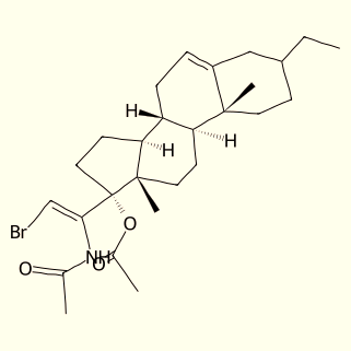 CCC1CC[C@@]2(C)C(=CC[C@@H]3[C@@H]2CC[C@@]2(C)[C@H]3CC[C@]2(OC(C)=O)C(=CBr)NC(C)=O)C1